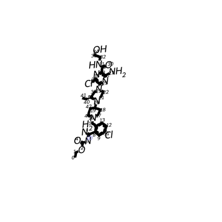 CCOC(=O)/N=C(\N)c1cc(Cl)ccc1CN1CCC(N2CCN(c3nc(N)c(C(=O)NCCO)nc3Cl)C[C@@H]2CC)CC1